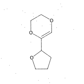 C1=C(C2CCCO2)OCCO1